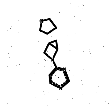 C1CC[N]C1.c1cc(N2CC3CC32)ncn1